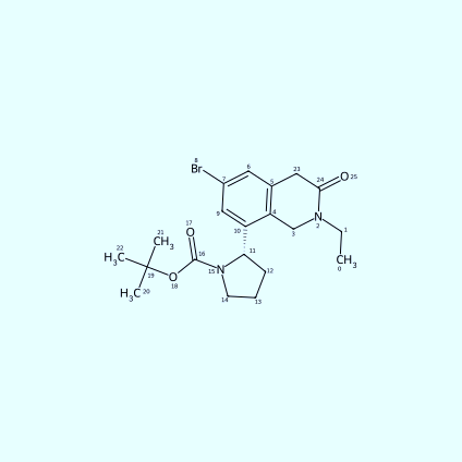 CCN1Cc2c(cc(Br)cc2[C@@H]2CCCN2C(=O)OC(C)(C)C)CC1=O